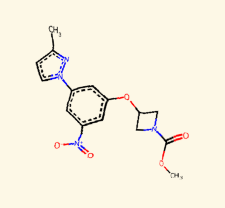 COC(=O)N1CC(Oc2cc(-n3ccc(C)n3)cc([N+](=O)[O-])c2)C1